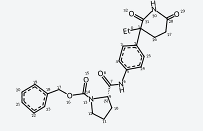 CCC1(c2ccc(NC(=O)[C@@H]3CCCN3C(=O)OCc3ccccc3)cc2)CCC(=O)NC1=O